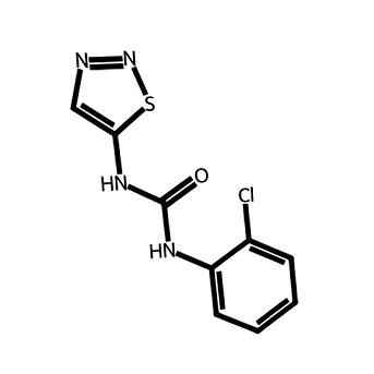 O=C(Nc1cnns1)Nc1ccccc1Cl